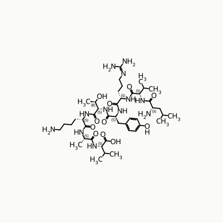 CC(C)C[C@H](N)C(=O)N[C@H](C(=O)N[C@@H](CCCN=C(N)N)C(=O)N[C@@H](Cc1ccc(O)cc1)C(=O)N[C@H](C(=O)N[C@@H](CCCCN)C(=O)N[C@@H](C)C(=O)N[C@H](C(=O)O)C(C)C)[C@@H](C)O)C(C)C